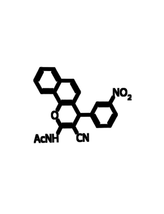 CC(=O)NC1=C(C#N)C(c2cccc([N+](=O)[O-])c2)c2ccc3ccccc3c2O1